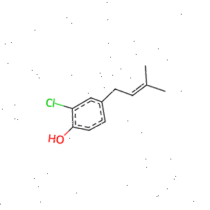 CC(C)=CCc1ccc(O)c(Cl)c1